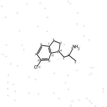 CC(N)CN1CCc2ccc(Cl)cc21